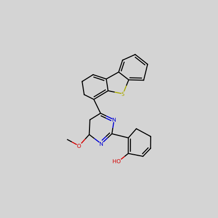 COC1CC(C2=c3sc4ccccc4c3=CCC2)=NC(C2=C(O)C=CCC2)=N1